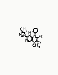 CCC1C(=O)N(C)C2=C(NC(n3cnc(C)c3)N=C2)N1C1CCCC1